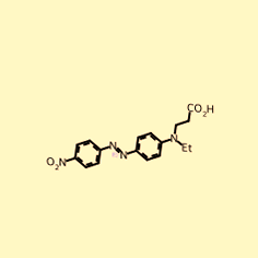 CCN(CCC(=O)O)c1ccc(/N=N/c2ccc([N+](=O)[O-])cc2)cc1